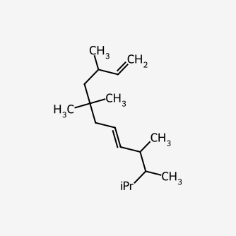 C=CC(C)CC(C)(C)CC=CC(C)C(C)C(C)C